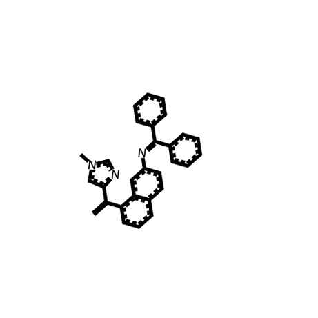 C=C(c1cn(C)cn1)c1cccc2ccc(N=C(c3ccccc3)c3ccccc3)cc12